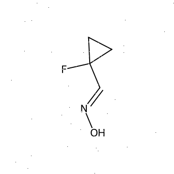 ON=CC1(F)CC1